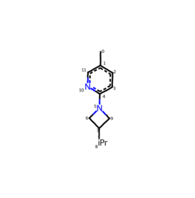 Cc1ccc(N2CC(C(C)C)C2)nc1